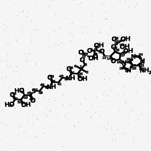 CC(C)(COP(=O)(O)OP(=O)(O)OC[C@H]1O[C@@H](n2cnc3c(N)ncnc32)[C@H](O)[C@@H]1OP(=O)(O)O)[C@@H](O)C(=O)NCCC(=O)NCCSC(=O)[C@H](O)[C@@H](O)C(=O)O